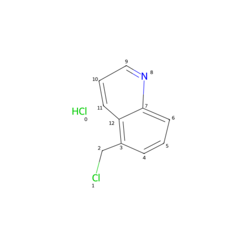 Cl.ClCc1cccc2ncccc12